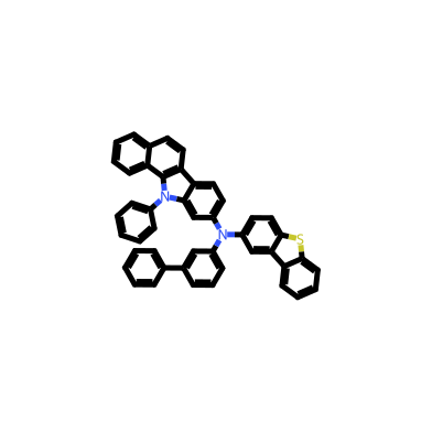 c1ccc(-c2cccc(N(c3ccc4sc5ccccc5c4c3)c3ccc4c5ccc6ccccc6c5n(-c5ccccc5)c4c3)c2)cc1